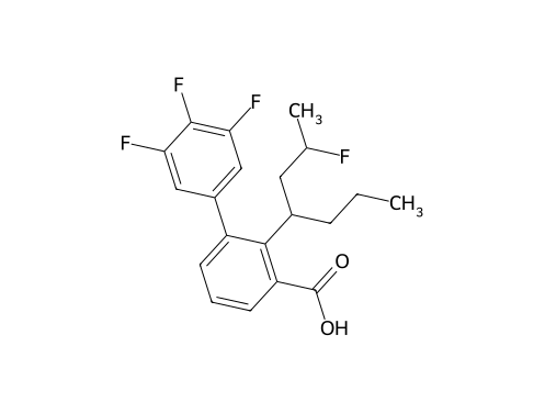 CCCC(CC(C)F)c1c(C(=O)O)cccc1-c1cc(F)c(F)c(F)c1